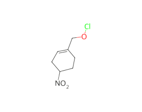 O=[N+]([O-])C1CC=C(COCl)CC1